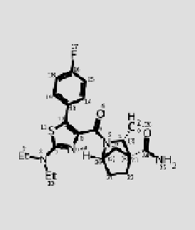 [CH2][C@H]1N(C(=O)c2nc(N(CC)CC)sc2-c2ccc(F)cc2)[C@H]2CC[C@@]1(C(N)=O)C2